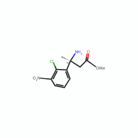 COC(=O)C[C@](C)(N)c1cccc([N+](=O)[O-])c1Cl